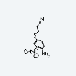 N#CCCSc1ccc(N)c([N+](=O)[O-])c1